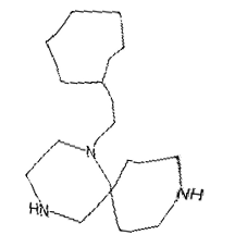 C1CCC(CN2CCNCC23CCNCC3)CC1